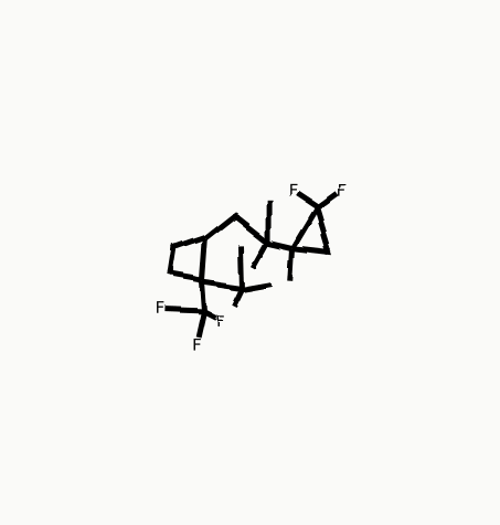 CC(C)(C)C1(C(F)(F)F)CCC1CC(C)(C)C1(C)CC1(F)F